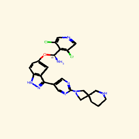 N[C@@H](Oc1ccc2[nH]nc(-c3cnc(N4CC5(CCCNC5)C4)nc3)c2c1)c1c(Cl)cncc1Cl